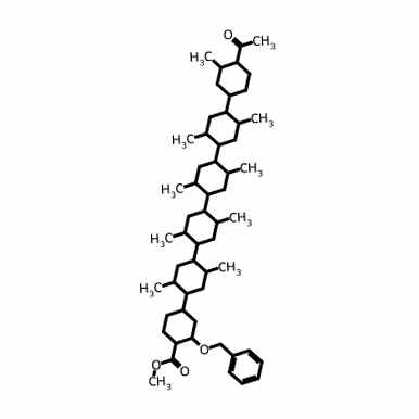 COC(=O)C1CCC(C2CC(C)C(C3CC(C)C(C4CC(C)C(C5CC(C)C(C6CCC(C(C)=O)C(C)C6)CC5C)CC4C)CC3C)CC2C)CC1OCc1ccccc1